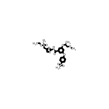 CCO[P@](C)(=O)Cc1csc(NC(=O)c2cc(Oc3ccc(S(C)(=O)=O)cc3)cc(O[C@@H](C)COC)c2)n1